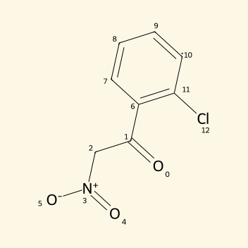 O=C(C[N+](=O)[O-])c1ccc[c]c1Cl